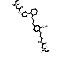 C=CS(=O)(=O)CC(=O)NCCOc1ccc(CCOC2CCCCC2N2CC[C@@H](OC(=O)CS(=O)(=O)C=C)C2)cc1OC